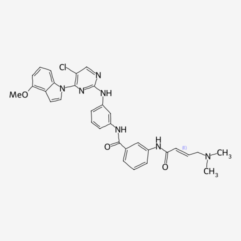 COc1cccc2c1ccn2-c1nc(Nc2cccc(NC(=O)c3cccc(NC(=O)/C=C/CN(C)C)c3)c2)ncc1Cl